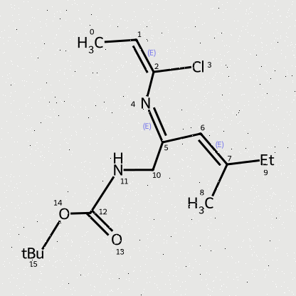 C\C=C(Cl)/N=C(\C=C(/C)CC)CNC(=O)OC(C)(C)C